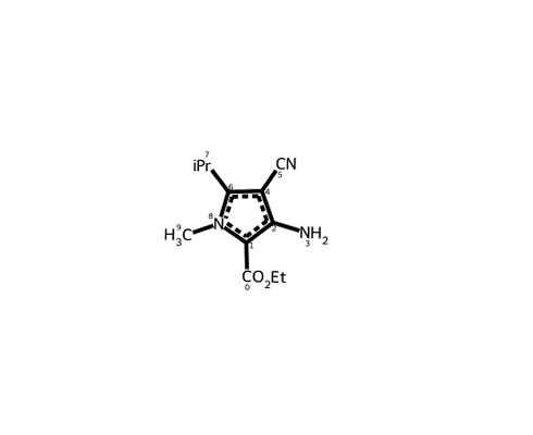 CCOC(=O)c1c(N)c(C#N)c(C(C)C)n1C